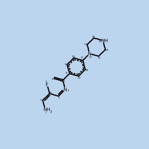 C=C(/N=C\C(F)=C/N)c1ccc(N2CCNCC2)cc1